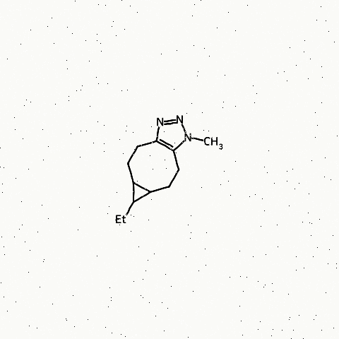 CCC1C2CCc3nnn(C)c3CCC12